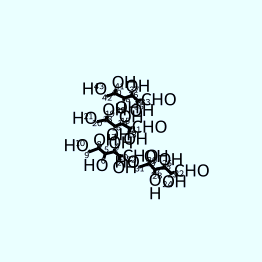 O=CC(O)C(O)C(O)C(O)CO.O=CC(O)C(O)C(O)C(O)CO.O=CC(O)C(O)C(O)C(O)CO.O=CC(O)C(O)C(O)C(O)CO